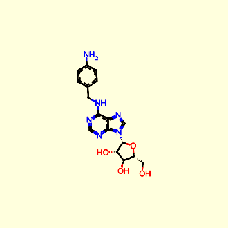 Nc1ccc(CNc2ncnc3c2ncn3[C@@H]2O[C@H](CO)[C@@H](O)[C@@H]2O)cc1